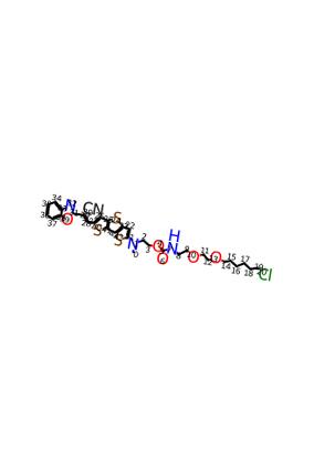 CN(CCOC(=O)NCCOCCOCCCCCCCl)c1cc2sc3cc(/C=C(\C#N)c4nc5ccccc5o4)sc3c2s1